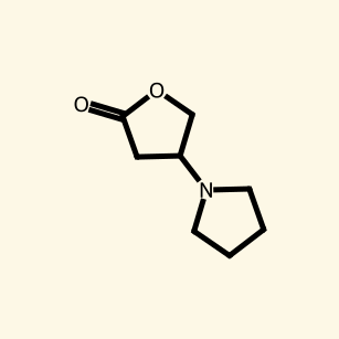 O=C1CC(N2CCCC2)CO1